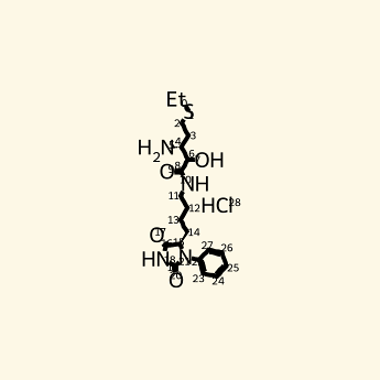 CCSCC[C@@H](N)C(O)C(=O)NCCCC[C@@H]1C(=O)NC(=O)N1c1ccccc1.Cl